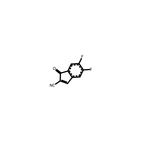 N#CC1=Cc2cc(F)c(F)cc2C1=O